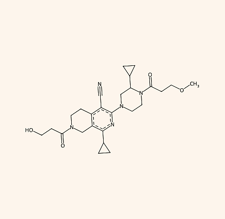 COCCC(=O)N1CCN(c2nc(C3CC3)c3c(c2C#N)CCN(C(=O)CCO)C3)CC1C1CC1